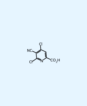 N#Cc1c(Cl)cc(C(=O)O)nc1Cl